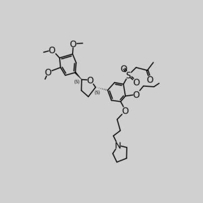 CCCOc1c(OCCCN2CCCC2)cc([C@@H]2CC[C@@H](c3cc(OC)c(OC)c(OC)c3)O2)cc1S(=O)(=O)CC(C)=O